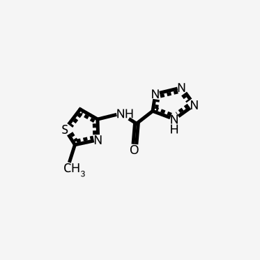 Cc1nc(NC(=O)c2nnn[nH]2)cs1